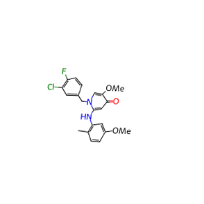 COc1ccc(C)c(Nc2cc(=O)c(OC)cn2Cc2ccc(F)c(Cl)c2)c1